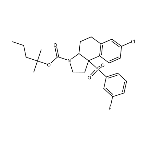 CCCC(C)(C)OC(=O)N1CCC2(S(=O)(=O)c3cccc(F)c3)c3ccc(Cl)cc3CCC12